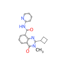 Cn1c(C2CCC2)nc2c(C(=O)Nc3ccccn3)cccc2c1=O